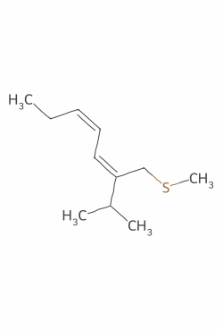 CC/C=C\C=C(/CSC)C(C)C